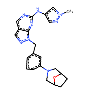 Cn1cc(Nc2ncc3cnn(Cc4cccc(N5CC6CCC(C5)O6)c4)c3n2)cn1